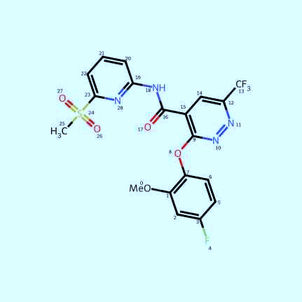 COc1cc(F)ccc1Oc1nnc(C(F)(F)F)cc1C(=O)Nc1cccc(S(C)(=O)=O)n1